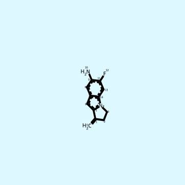 C=C1CCn2c1cc1cc(N)c(F)cc12